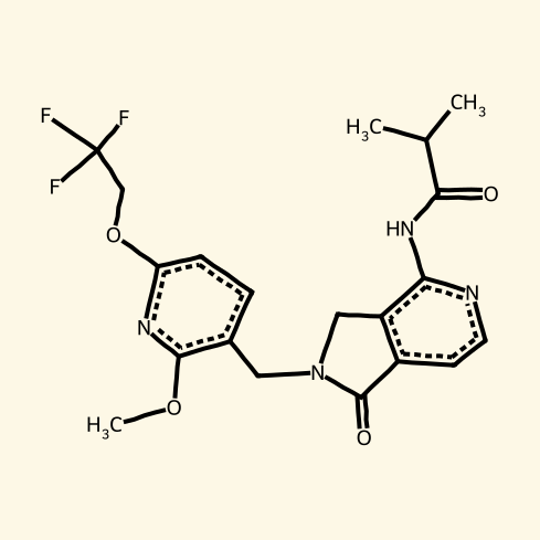 COc1nc(OCC(F)(F)F)ccc1CN1Cc2c(ccnc2NC(=O)C(C)C)C1=O